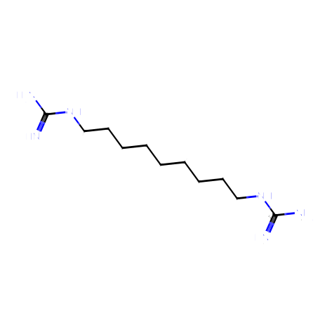 N=C(N)NCCCCCCCCCNC(=N)N